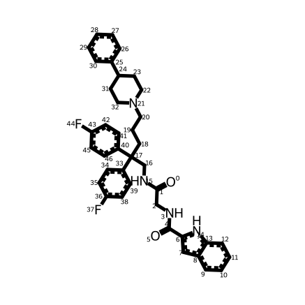 O=C(CNC(=O)c1cc2ccccc2[nH]1)NCC(CCCN1CCC(c2ccccc2)CC1)(c1ccc(F)cc1)c1ccc(F)cc1